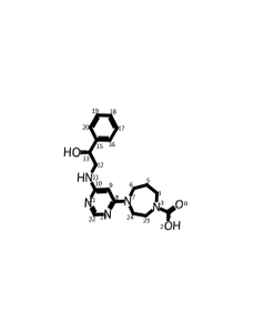 O=C(O)N1CCCN(c2cc(NCC(O)c3ccccc3)ncn2)CC1